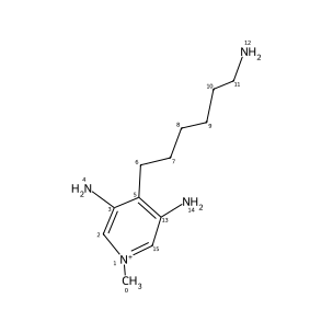 C[n+]1cc(N)c(CCCCCCN)c(N)c1